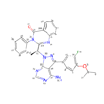 CC(C)Oc1ccc(-c2nn([C@@H](C)c3nc4ccccc4c(=O)n3-c3ccccc3)c3ncnc(N)c23)cc1F